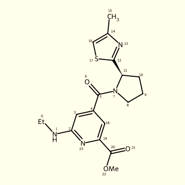 CCNc1cc(C(=O)N2CCC[C@@H]2c2nc(C)cs2)cc(C(=O)OC)n1